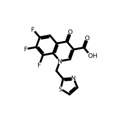 O=C(O)c1cn(Cc2nccs2)c2c(F)c(F)c(F)cc2c1=O